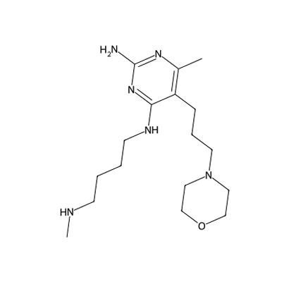 CNCCCCNc1nc(N)nc(C)c1CCCN1CCOCC1